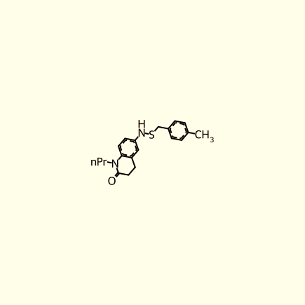 CCCN1C(=O)CCc2cc(NSCc3ccc(C)cc3)ccc21